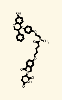 CN(CCOc1ccc([C@@H]2c3ccc(O)cc3OCC2c2ccccc2)cc1)C(=O)CCCCOc1ccc2c(c1)CN(C1CCC(=O)NC1=O)C2=O